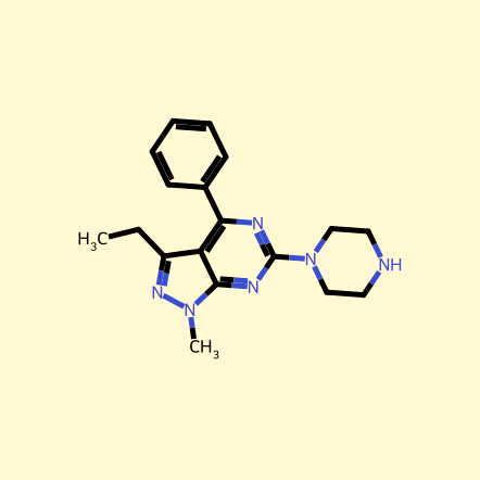 CCc1nn(C)c2nc(N3CCNCC3)nc(-c3ccccc3)c12